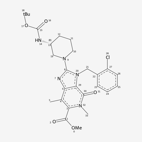 COC(=O)c1c(C)c2nc(N3CCC[C@@H](NC(=O)OC(C)(C)C)C3)n(Cc3ccccc3Cl)c2c(=O)n1C